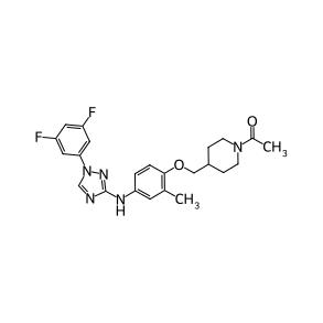 CC(=O)N1CCC(COc2ccc(Nc3ncn(-c4cc(F)cc(F)c4)n3)cc2C)CC1